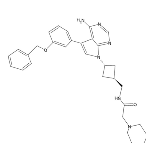 Nc1ncnc2c1c(-c1cccc(OCc3ccccc3)c1)cn2[C@H]1C[C@H](CNC(=O)CN2CCCCC2)C1